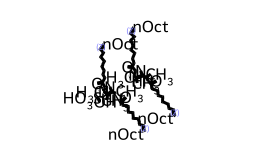 CCCCCCCC/C=C\CCCCCCCC(=O)NC(C)c1nc(C(=O)CCCCCCC/C=C\CCCCCCCC)n(C)c1C.CCCCCCCC/C=C\CCCCCCCC(=O)NC(C)c1nc(C(=O)CCCCCCC/C=C\CCCCCCCC)n(C)c1C.O=S(=O)(O)O